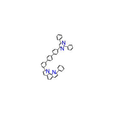 c1ccc(-c2cc(-c3ccc(-c4ccc(-c5cccc(-c6ccc7ccc8ccc(-c9ccccc9)nc8c7n6)c5)cc4)cc3)nc(-c3ccccc3)n2)cc1